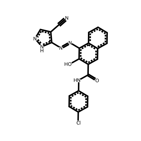 N#Cc1cn[nH]c1/N=N/c1c(O)c(C(=O)Nc2ccc(Cl)cc2)cc2ccccc12